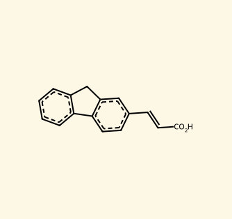 O=C(O)C=Cc1ccc2c(c1)Cc1ccccc1-2